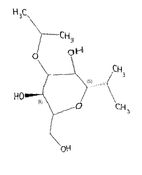 CC(C)OC1C(O)[C@H](C(C)C)OC(CO)[C@H]1O